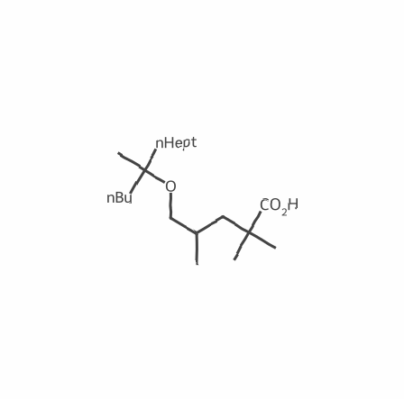 CCCCCCCC(C)(CCCC)OCC(C)CC(C)(C)C(=O)O